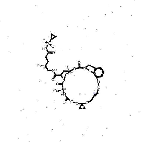 CC[C@@H](CCC(=O)NS(=O)(=O)C1CC1)CNC(=O)C1C[C@@H]2CN1C(=O)[C@H](C(C)(C)C)NC(=O)OCC1(CC/C=C/COc3cccc4c3CN(C4)C(=O)O2)CC1